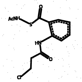 CC(=O)NSC(=O)c1ccccc1NC(=O)CCCl